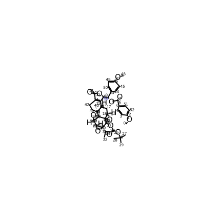 COc1ccc(C(=O)O/C(=C2/OC(=O)C3=C2[C@@H]2C[C@@H]4O[C@@]45[C@H](OC(=O)OC(C)(C)C)[C@@]4(C(C)C)O[C@H]4[C@@H]4O[C@@]45[C@@]2(C)CC3)c2ccc(OC)cc2)cc1